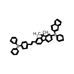 CC1(C)c2cc(/C=C/c3ccc(B(c4ccccc4)c4ccccc4)cc3)ccc2-c2ccc(B(c3ccccc3)c3ccc4ccccc4c3)cc21